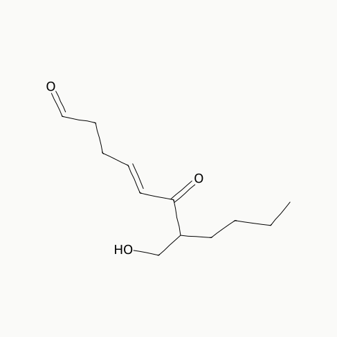 CCCCC(CO)C(=O)C=CCCC=O